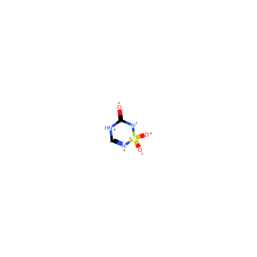 O=C1[N]S(=O)(=O)N=CN1